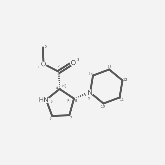 COC(=O)[C@H]1NCC[C@H]1N1CCCCC1